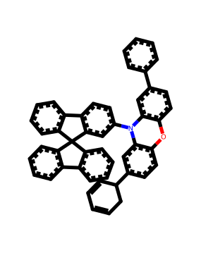 C1=CCC(c2ccc3c(c2)N(c2ccc4c(c2)C2(c5ccccc5-c5ccccc52)c2ccccc2-4)c2cc(-c4ccccc4)ccc2O3)C=C1